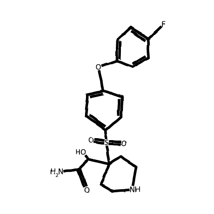 NC(=O)C(O)C1(S(=O)(=O)c2ccc(Oc3ccc(F)cc3)cc2)CCNCC1